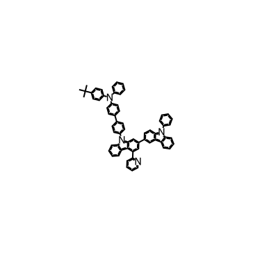 CC(C)(C)c1ccc(N(c2ccccc2)c2ccc(-c3ccc(-n4c5ccccc5c5c(-c6ccccn6)cc(-c6ccc7c(c6)c6ccccc6n7-c6ccccc6)cc54)cc3)cc2)cc1